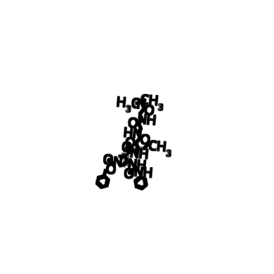 CCC[C@H](NC(=O)[C@@H]1CN(C(=O)OCc2ccccc2)C[C@@H]1NC(=O)Nc1ccccc1)C(=O)C(=O)NCC(=O)NCC(=O)N(C)C